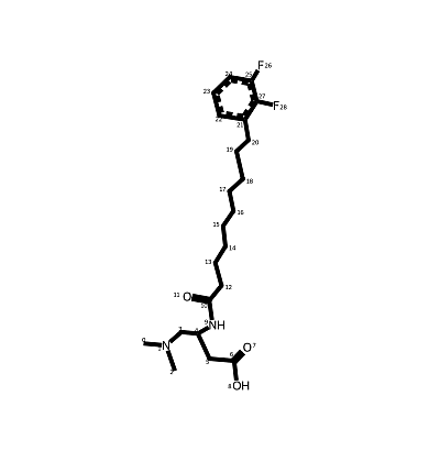 CN(C)CC(CC(=O)O)NC(=O)CCCCCCCCCc1cccc(F)c1F